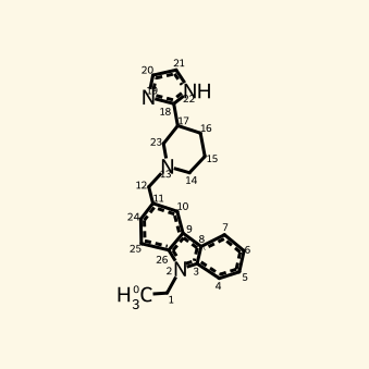 CCn1c2ccccc2c2cc(CN3CCCC(c4ncc[nH]4)C3)ccc21